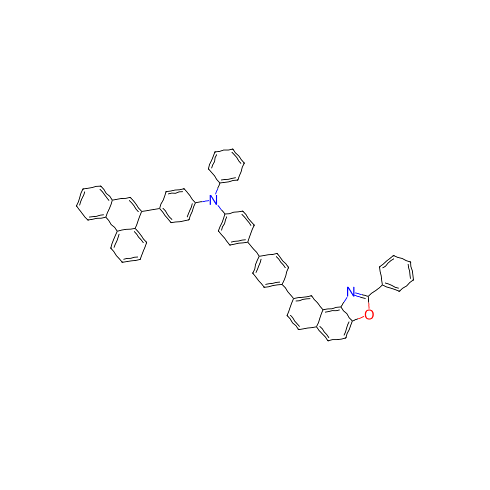 c1ccc(-c2nc3c(ccc4ccc(-c5ccc(-c6ccc(N(c7ccccc7)c7ccc(-c8cc9ccccc9c9ccccc89)cc7)cc6)cc5)cc43)o2)cc1